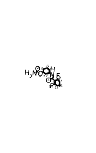 NC(=O)Oc1cccc(NC(=O)c2c(F)cccc2F)c1